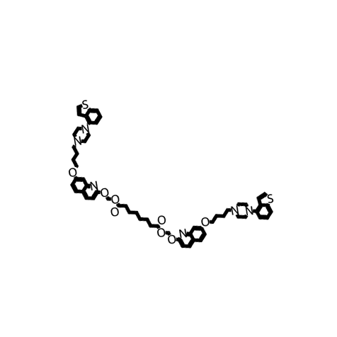 O=C(CCCCCCC(=O)OCOc1ccc2ccc(OCCCCN3CCN(c4cccc5sccc45)CC3)cc2n1)OCOc1ccc2ccc(OCCCCN3CCN(c4cccc5sccc45)CC3)cc2n1